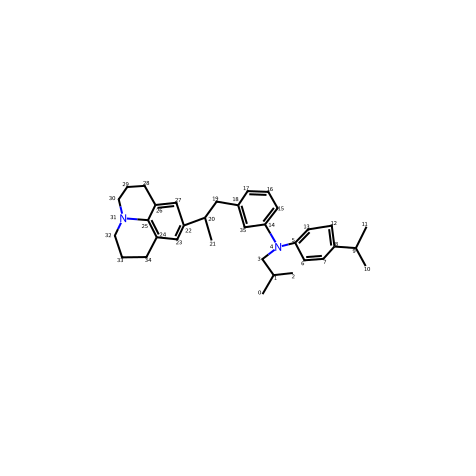 CC(C)CN(c1ccc(C(C)C)cc1)c1cccc(CC(C)c2cc3c4c(c2)CCCN4CCC3)c1